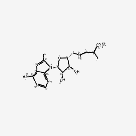 CCOC(=O)C(C)CNC[C@H]1O[C@@H](n2c(C)nc3c(N)ncnc32)[C@H](O)[C@@H]1O